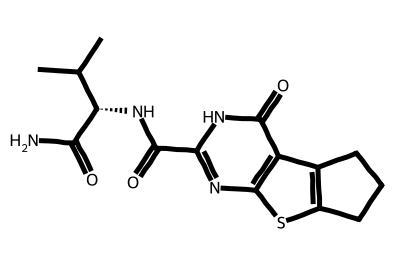 CC(C)[C@H](NC(=O)c1nc2sc3c(c2c(=O)[nH]1)CCC3)C(N)=O